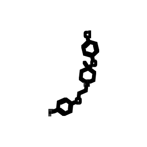 CC1(Oc2ccc(Cl)cc2)CCN(CCOc2ccc(F)cc2)CC1